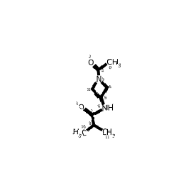 CC(=O)N1CC(NC(=O)C(C)C)C1